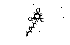 CCC[N]CCOc1c(Cl)cc(Cl)cc1Cl